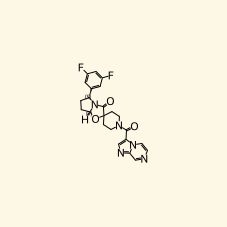 O=C(c1cnc2cnccn12)N1CCC2(CC1)O[C@@H]1CC[C@@H](c3cc(F)cc(F)c3)N1C2=O